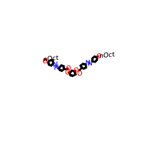 CCCCCCCCOc1ccc(/N=N/c2ccc(C(=O)Oc3cccc(OC(=O)c4ccc(/N=N/c5ccc(OCCCCCCCC)cc5)cc4)c3)cc2)cc1